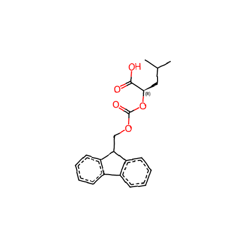 CC(C)C[C@@H](OC(=O)OCC1c2ccccc2-c2ccccc21)C(=O)O